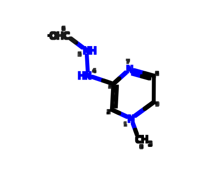 CN1C=C(NN[C]=O)N=CC1